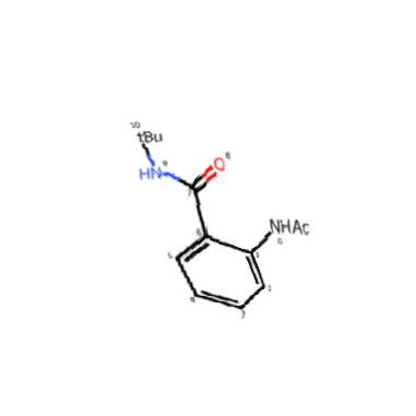 CC(=O)Nc1ccccc1C(=O)NC(C)(C)C